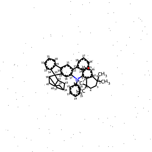 CC1(C)CCC(C)(C)c2c(N(c3ccccc3)c3cc4c(cc3-c3ccccc3)-c3ccccc3C43C4CC5CC(C4)C3C5)cccc21